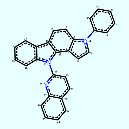 c1ccc(-n2ccc3c2ccc2c4ccccc4n(-c4ccc5ccccc5n4)c23)cc1